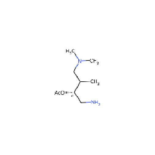 CC(=O)O[C@@H](CN)C(C)CN(C)C